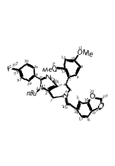 CCCCn1c(CN(CCc2ccc(OC)cc2OC)Cc2ccc3c(c2)OCO3)cnc1-c1ccc(F)cc1